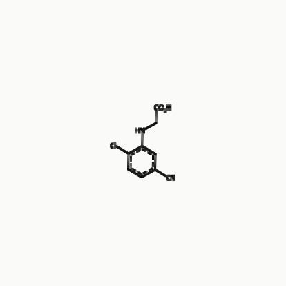 N#Cc1ccc(Cl)c(NCC(=O)O)c1